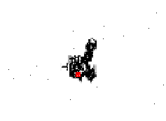 O=c1[nH]c2ccccc2c(N[C@H](c2ncccn2)C2CC2)c1-c1nc2ccc(N3CCOCC3)cc2[nH]1